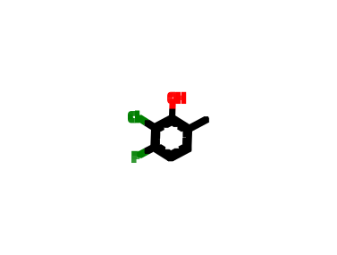 Cc1ccc(F)c(Cl)c1O